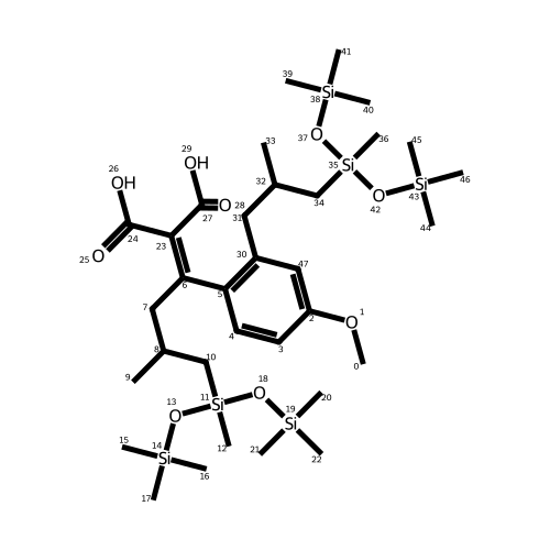 COc1ccc(C(CC(C)C[Si](C)(O[Si](C)(C)C)O[Si](C)(C)C)=C(C(=O)O)C(=O)O)c(CC(C)C[Si](C)(O[Si](C)(C)C)O[Si](C)(C)C)c1